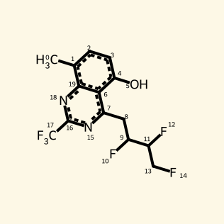 Cc1ccc(O)c2c(CC(F)C(F)CF)nc(C(F)(F)F)nc12